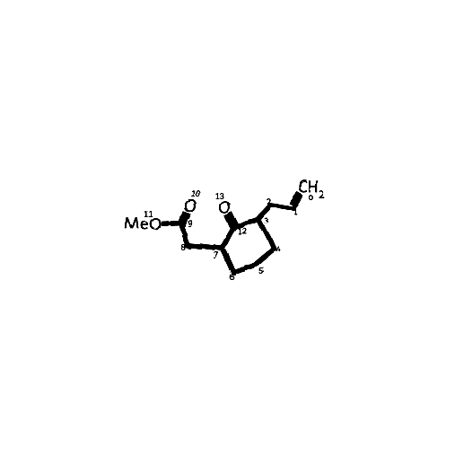 C=CCC1CCCC(CC(=O)OC)C1=O